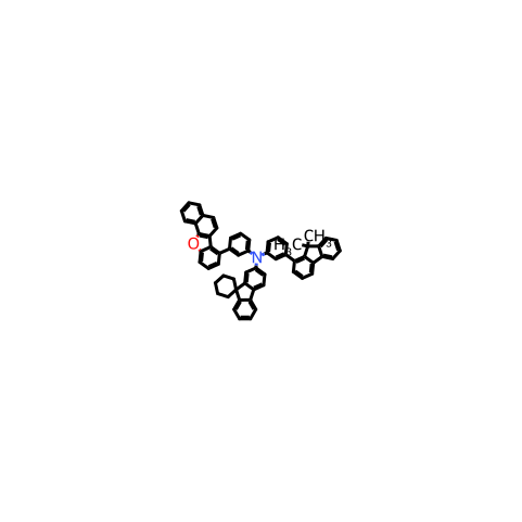 CC1(C)c2ccccc2-c2cccc(-c3cccc(N(c4cccc(-c5cccc6oc7c8ccccc8ccc7c56)c4)c4ccc5c(c4)C4(CCCCC4)c4ccccc4-5)c3)c21